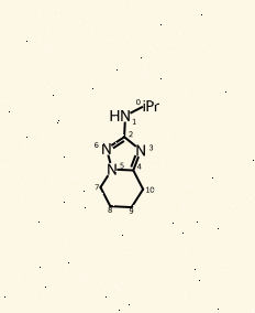 CC(C)Nc1nc2n(n1)CCCC2